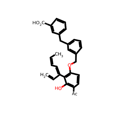 C=C/C(=C\C=C/C)c1c(OCc2cccc(Cc3cccc(C(=O)O)c3)c2)ccc(C(C)=O)c1O